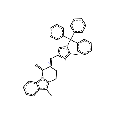 Cc1c2n(c3ccccc13)C(=O)/C(=C/c1cn(C(c3ccccc3)(c3ccccc3)c3ccccc3)c(C)n1)CC2